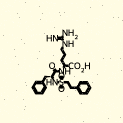 N=C(N)NCCCC(NC(=O)[C@H](Cc1ccccc1)NS(=O)(=O)CCc1ccccc1)C(=O)O